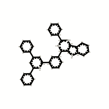 c1ccc(-c2cc(-c3ccccc3)nc(-c3cccc(-c4nc(-c5ccccc5)nc5c4sc4ccccc45)c3)c2)cc1